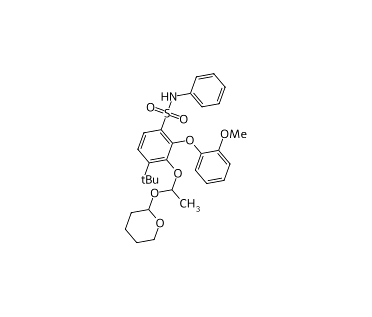 COc1ccccc1Oc1c(S(=O)(=O)Nc2ccccc2)ccc(C(C)(C)C)c1OC(C)OC1CCCCO1